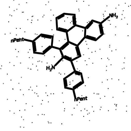 CCCCCc1ccc(-c2cc3c4ccc(N)cc4c4ccccc4c3c(-c3ccc(CCCCC)cc3)c2N)cc1